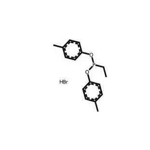 Br.CCP(Oc1ccc(C)cc1)Oc1ccc(C)cc1